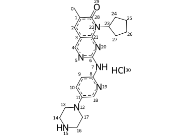 Cc1cc2cnc(Nc3ccc(N4CCNCC4)cn3)nc2n(C2CCCC2)c1=O.Cl